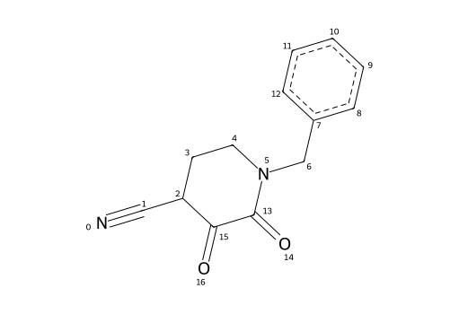 N#CC1CCN(Cc2ccccc2)C(=O)C1=O